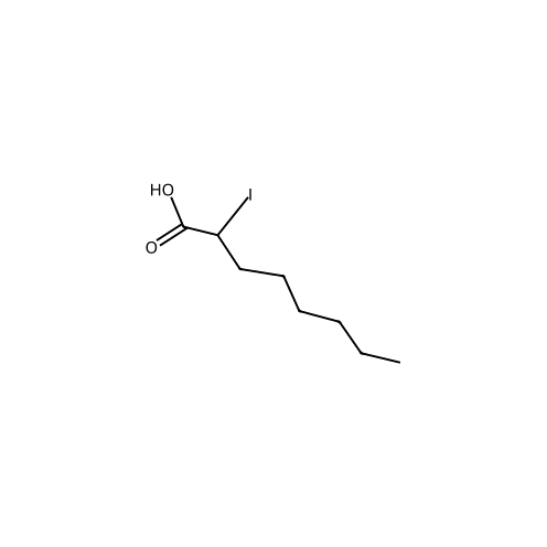 CCCCCCC(I)C(=O)O